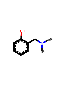 CCCN(CCC)Cc1ccccc1O